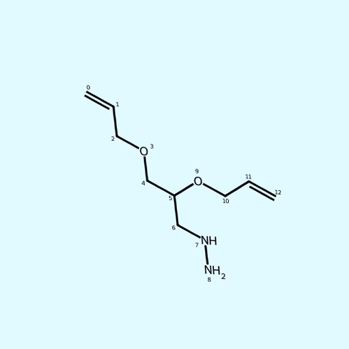 C=CCOCC(CNN)OCC=C